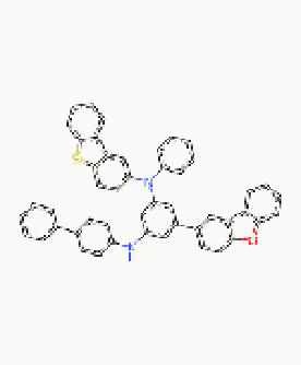 c1ccc(-c2ccc(Nc3cc(-c4ccc5oc6ccccc6c5c4)cc(N(c4ccccc4)c4ccc5sc6ccccc6c5c4)c3)cc2)cc1